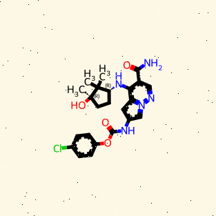 CC1(C)[C@H](Nc2c(C(N)=O)cnn3cc(NC(=O)Oc4ccc(Cl)cc4)cc23)CC[C@@]1(C)O